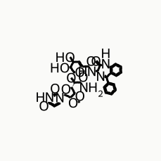 NC(=O)C(O[C@H]1OC(C(=O)NC2N=C(c3ccccc3)c3ccccc3NC2=O)=CC(O)C1O)[C@H]1O[C@@H](n2ccc(=O)[nH]c2=O)C2OCOC21